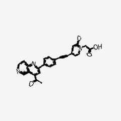 CC(=O)c1cc(-c2ccc(C#Cc3ccn(CC(=O)O)c(=O)c3)cc2)nc2ccncc12